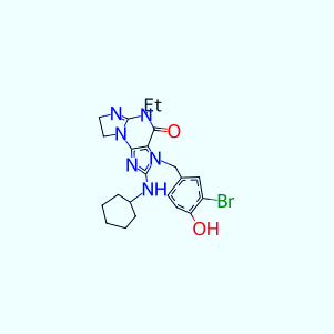 CCN1C(=O)c2c(nc(NC3CCCCC3)n2Cc2ccc(O)c(Br)c2)N2CCN=C12